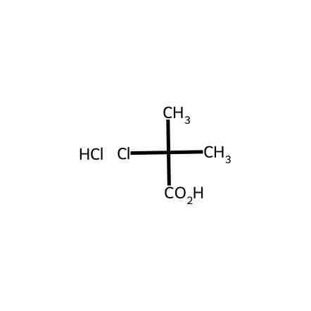 CC(C)(Cl)C(=O)O.Cl